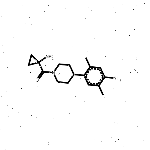 Cc1cc(C2CCN(C(=O)C3(N)CC3)CC2)c(C)cc1N